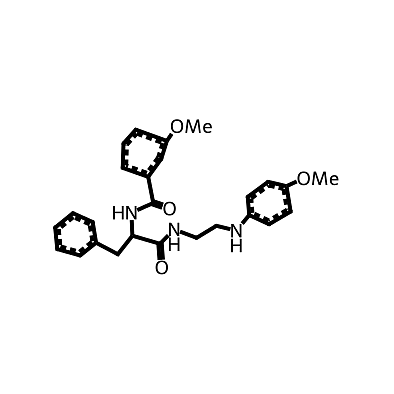 COc1ccc(NCCNC(=O)C(Cc2ccccc2)NC(=O)c2cccc(OC)c2)cc1